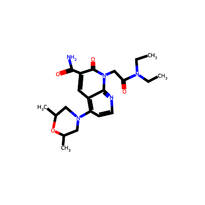 CCN(CC)C(=O)Cn1c(=O)c(C(N)=O)cc2c(N3CC(C)OC(C)C3)ccnc21